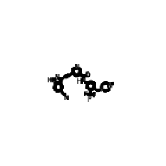 CN1CCN(Cc2ccc(NC(=O)c3cncc(C#Cc4n[nH]c5ccc(C#N)cc45)c3)cc2C(F)(F)F)CC1